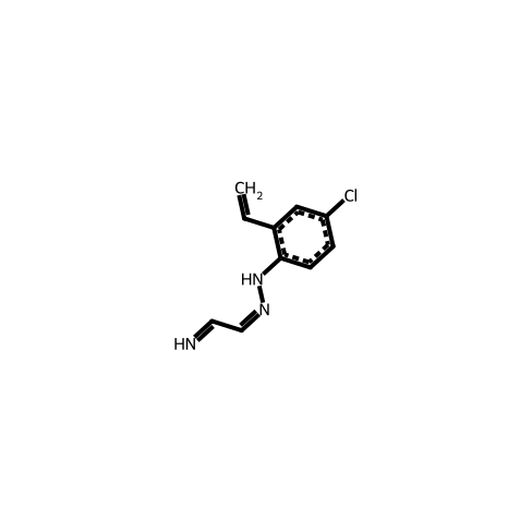 C=Cc1cc(Cl)ccc1N/N=C\C=N